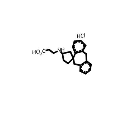 Cl.O=C(O)CCNC1CCC2(Cc3ccccc3Cc3ccccc32)C1